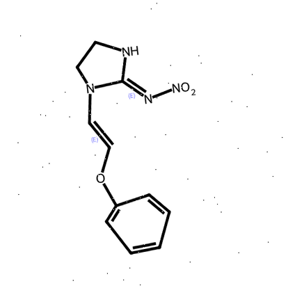 O=[N+]([O-])/N=C1\NCCN1/C=C/Oc1ccccc1